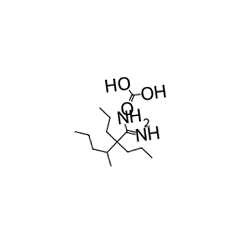 CCCC(C)C(CCC)(CCC)C(=N)N.O=C(O)O